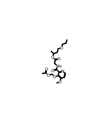 CCCOCCC(C)OC(=O)CNC(=O)c1nccc(OC)c1OCOC(C)=O